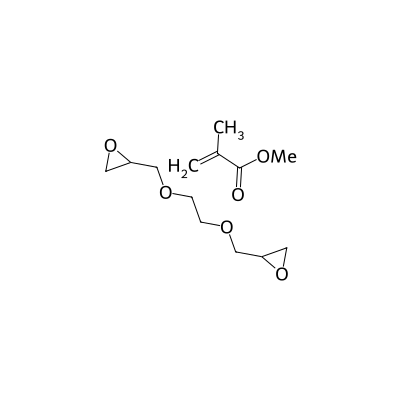 C(COCC1CO1)OCC1CO1.C=C(C)C(=O)OC